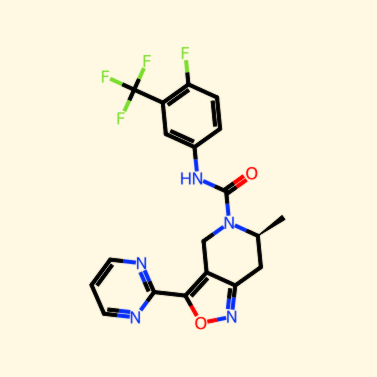 C[C@H]1Cc2noc(-c3ncccn3)c2CN1C(=O)Nc1ccc(F)c(C(F)(F)F)c1